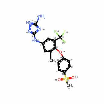 Cc1cc(Nc2n[nH]c(N)n2)cc(C(F)(F)F)c1Oc1ccc(S(C)(=O)=O)cc1